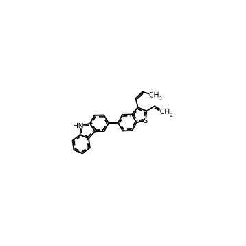 C=Cc1sc2ccc(-c3ccc4[nH]c5ccccc5c4c3)cc2c1/C=C\C